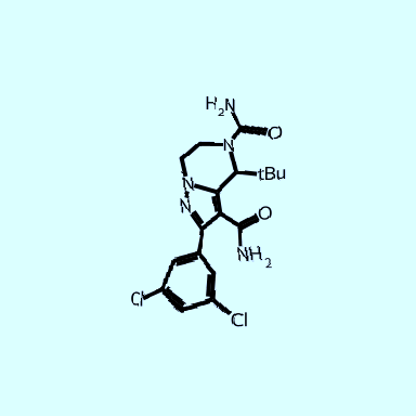 CC(C)(C)C1c2c(C(N)=O)c(-c3cc(Cl)cc(Cl)c3)nn2CCN1C(N)=O